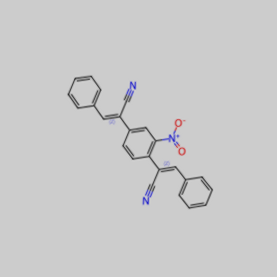 N#C/C(=C\c1ccccc1)c1ccc(/C(C#N)=C/c2ccccc2)c([N+](=O)[O-])c1